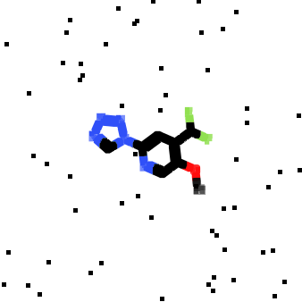 CCOc1cnc(-n2cnnn2)cc1C(F)F